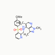 COc1ccc(S(=O)(=O)c2cccnc2CNc2c(C(=O)O)cnc3c2c(C)nn3C)cc1